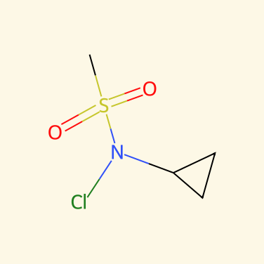 CS(=O)(=O)N(Cl)C1CC1